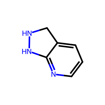 c1cnc2c(c1)CNN2